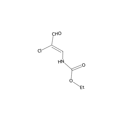 CCOC(=O)NC=C(Cl)C=O